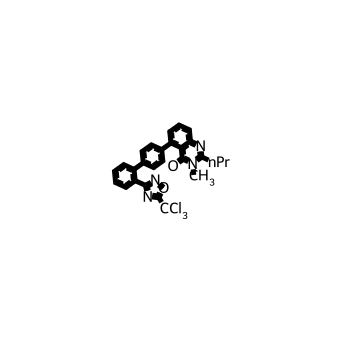 CCCc1nc2cccc(-c3ccc(-c4ccccc4-c4noc(C(Cl)(Cl)Cl)n4)cc3)c2c(=O)n1C